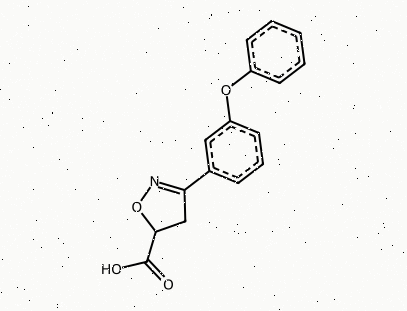 O=C(O)C1CC(c2cccc(Oc3ccccc3)c2)=NO1